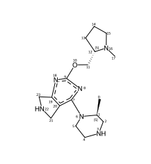 C[C@H]1CNCCN1c1nc(OC[C@@H]2CCCN2C)nc2c1CNC2